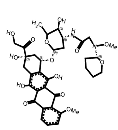 COc1cccc2c1C(=O)c1c(O)c3c(c(O)c1C2=O)C[C@@](O)(C(=O)CO)C[C@@H]3O[C@H]1C[C@@H](NC(=O)CN(OC)[C@H]2CCCCO2)[C@H](O)C(C)O1